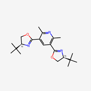 Cc1nc(C)c(C2=N[C@@H](C(C)(C)C)CO2)cc1C1=N[C@@H](C(C)(C)C)CO1